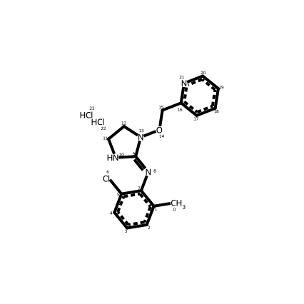 Cc1cccc(Cl)c1/N=C1\NCCN1OCc1ccccn1.Cl.Cl